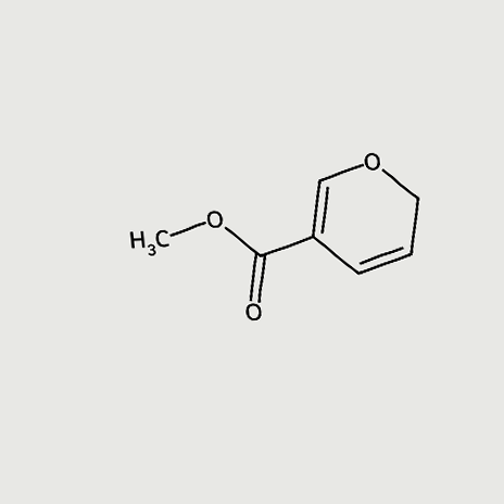 COC(=O)C1=COCC=C1